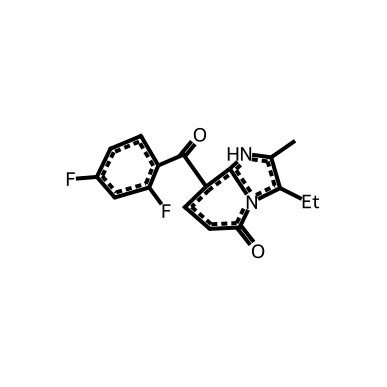 CCc1c(C)[nH]c2c(C(=O)c3ccc(F)cc3F)ccc(=O)n12